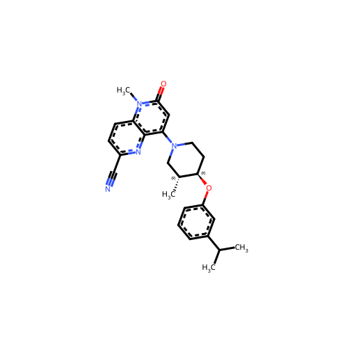 CC(C)c1cccc(O[C@@H]2CCN(c3cc(=O)n(C)c4ccc(C#N)nc34)C[C@H]2C)c1